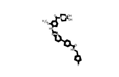 COc1cc(C(=O)N2CCS(O)(O)CC2)ccc1Nc1nc2ccc(-c3ccc(C(=O)NCc4ccc(F)cc4)cc3)cn2n1